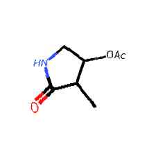 CC(=O)OC1CNC(=O)C1C